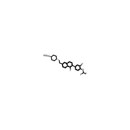 CCCCCC[C@H]1CC[C@H](CCc2ccc3c(F)c(-c4ccc(OC(F)F)c(F)c4)ccc3c2)CC1